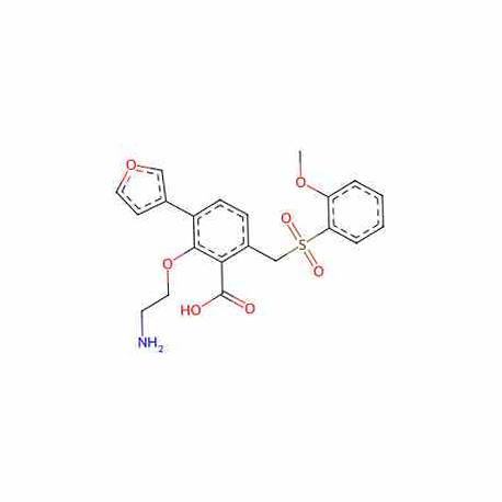 COc1ccccc1S(=O)(=O)Cc1ccc(-c2ccoc2)c(OCCN)c1C(=O)O